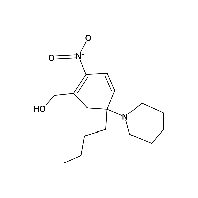 CCCCC1(N2CCCCC2)C=CC([N+](=O)[O-])=C(CO)C1